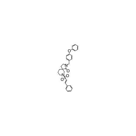 O=C1N(Cc2ccc(Oc3ccccc3)cc2)CCC12CCCN(S(=O)(=O)/C=C/c1ccccc1)C2